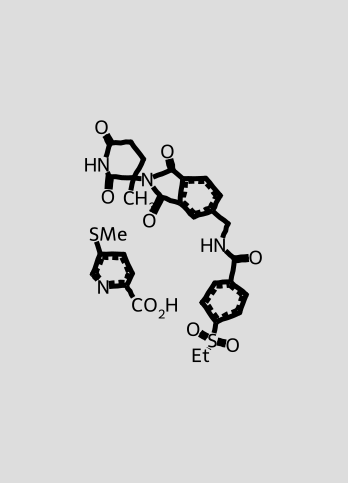 CCS(=O)(=O)c1ccc(C(=O)NCc2ccc3c(c2)C(=O)N(C2(C)CCC(=O)NC2=O)C3=O)cc1.CSc1ccc(C(=O)O)nc1